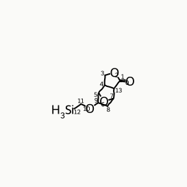 O=C1OCC2C3OC(CC3OC[SiH3])C12